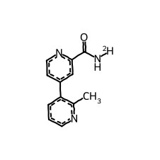 [2H]NC(=O)c1cc(-c2cccnc2C)ccn1